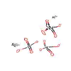 [Al+3].[Al+3].[O]=[W](=[O])([O-])[O-].[O]=[W](=[O])([O-])[O-].[O]=[W](=[O])([O-])[O-]